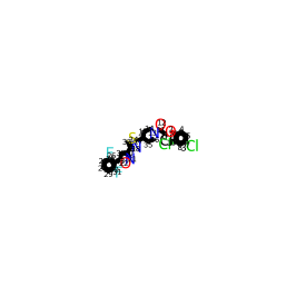 CC(Oc1ccc(Cl)cc1Cl)C(=O)N1CCC(c2nc(C3=NOC(c4c(F)cccc4F)C3)cs2)CC1